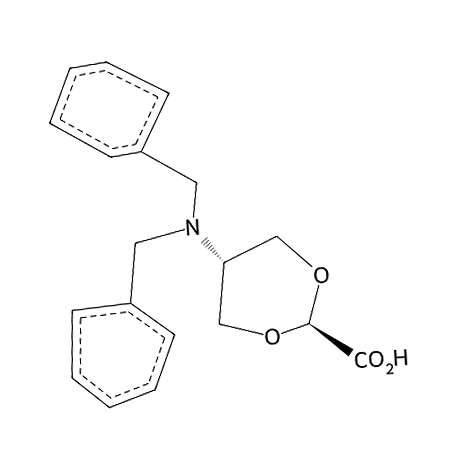 O=C(O)[C@H]1OC[C@H](N(Cc2ccccc2)Cc2ccccc2)CO1